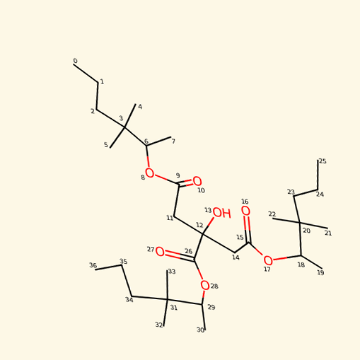 CCCC(C)(C)C(C)OC(=O)CC(O)(CC(=O)OC(C)C(C)(C)CCC)C(=O)OC(C)C(C)(C)CCC